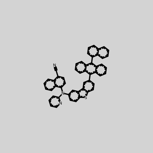 N#Cc1ccc(N(c2ccc3sc4ccc(-c5c6ccccc6c(-c6cccc7ccccc67)c6ccccc56)cc4c3c2)c2ccccn2)c2ccccc12